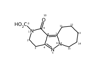 O=C(O)N1CCc2nn3c(c2C1=O)CCCCC3